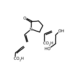 C=CC(=O)O.C=CC(=O)O.C=CN1CCCC1=O.OCCO